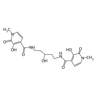 Cn1ccc(C(=O)NCCC(O)CCNC(=O)c2ccn(C)c(=O)c2O)c(O)c1=O